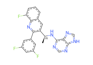 C[C@H](Nc1ncnc2[nH]cnc12)c1cc2cccc(F)c2nc1-c1cc(F)cc(F)c1